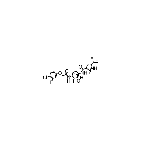 CN1NC(C(F)F)CC1C(=O)NC12CCC(NC(=O)COc3ccc(Cl)c(F)c3)(CC1)C[C@@H]2O